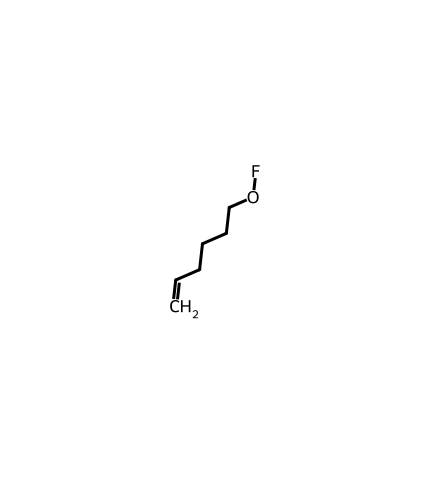 C=CCCCCOF